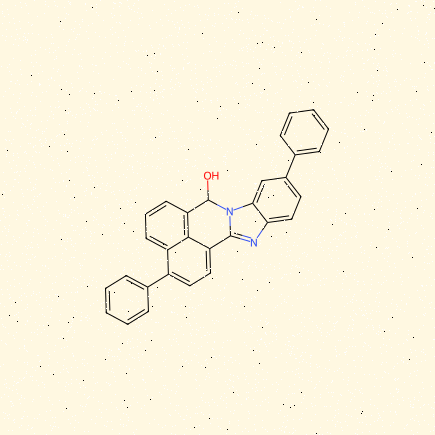 OC1c2cccc3c(-c4ccccc4)ccc(c23)-c2nc3ccc(-c4ccccc4)cc3n21